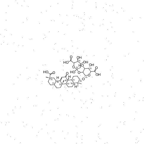 CC1(C)[C@@H](O[C@H]2OC(C(=O)O)[C@@H](O)C(O)C2O[C@@]2(O)CC(O)[C@H](O)C(C(=O)O)O2)CC[C@]2(C)[C@H]3C(=O)C=C4[C@@H]5C[C@@](C)(C(=O)O)CC[C@]5(C)CC[C@@]4(C)[C@]3(C)CC[C@@H]12